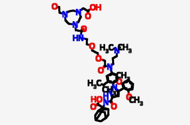 COc1cccc(OC)c1-c1cc(C(=O)NC2(C(=O)O)C3CC4CC(C3)CC2C4)nn1-c1ccc(N(CCCN(C)C)C(=O)COCCOCCNC(=O)CN2CCN(CC=O)CCN(CC(=O)O)CC2)cc1C(C)C